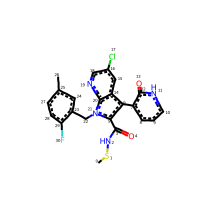 CSNC(=O)c1c(-c2ccc[nH]c2=O)c2cc(Cl)cnc2n1Cc1cc(C)ccc1F